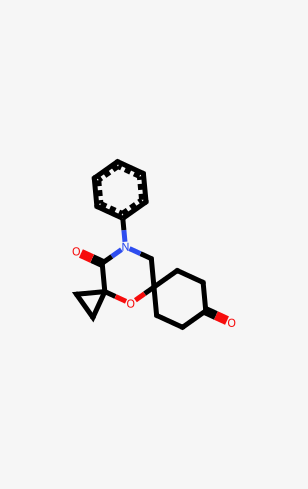 O=C1CCC2(CC1)CN(c1ccccc1)C(=O)C1(CC1)O2